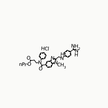 CCCOC(=O)CCN(C(=O)c1ccc2c(c1)nc(CNc1ccc(C(=N)N)cc1)n2C)c1ccccc1.Cl